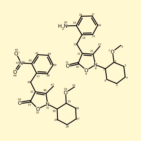 COC1CCCCC1n1oc(=O)c(Cc2ccccc2N)c1C.COC1CCCCC1n1oc(=O)c(Cc2ccccc2[N+](=O)[O-])c1C